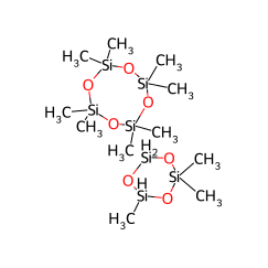 C[SiH]1O[SiH2]O[Si](C)(C)O1.C[Si]1(C)O[Si](C)(C)O[Si](C)(C)O[Si](C)(C)O1